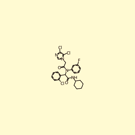 O=C(NC1CCCCC1)C(c1ccccc1Cl)N(C(=O)Cn1cnc(Cl)c1Cl)c1cccc(F)c1